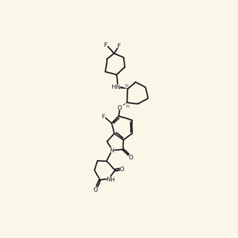 O=C1CCC(N2Cc3c(ccc(O[C@H]4CCCC[C@@H]4NC4CCC(F)(F)CC4)c3F)C2=O)C(=O)N1